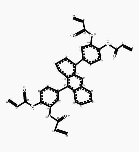 C=CC(=O)Oc1ccc(-c2cccc3c(-c4ccc(OC(=O)C=C)c(OC(=O)C=C)c4)c4ccccc4cc23)cc1OC(=O)C=C